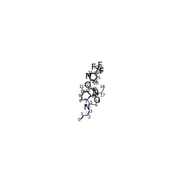 C=C/C=C\N=C(/C)c1ccc(C)cc1C(=O)N(CC)[C@@H](C)COc1ccc(C(F)(F)F)cn1